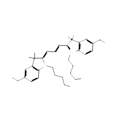 CC1(C)C(/C=C/C=C2\N(CCCCS(=O)(=O)O)c3ccc(CN)cc3C2(C)C)=[N+](CCCCS(=O)(=O)O)c2ccc(CC(=O)O)cc21